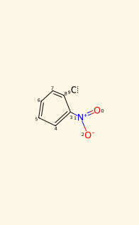 O=[N+]([O-])c1ccccc1.[C]